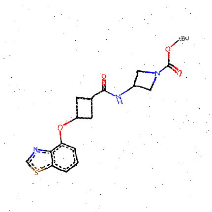 CC(C)(C)OC(=O)N1CC(NC(=O)C2CC(Oc3cccc4scnc34)C2)C1